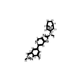 CN(c1nc2cnc(-c3cc(F)c4nn(C)cc4c3)cc2s1)C1CC2CCC(C1)N2C